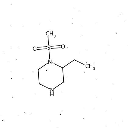 CCC1CNCCN1S(C)(=O)=O